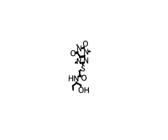 CCC(CO)NC(=O)CSc1nc2c(c(=O)n(C)c(=O)n2C)n1C